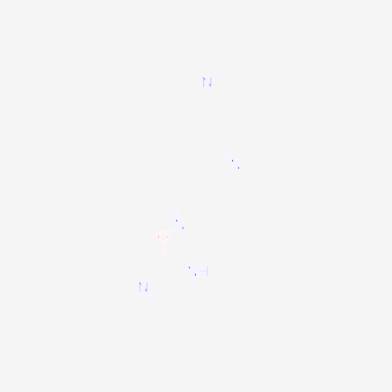 C/C(=N\OC1N=CC=CN1)c1sc(-c2cccnc2)nc1C